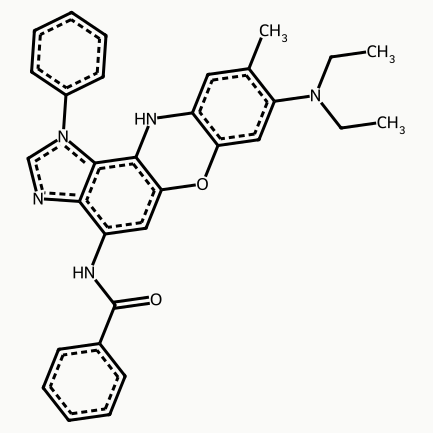 CCN(CC)c1cc2c(cc1C)Nc1c(cc(NC(=O)c3ccccc3)c3ncn(-c4ccccc4)c13)O2